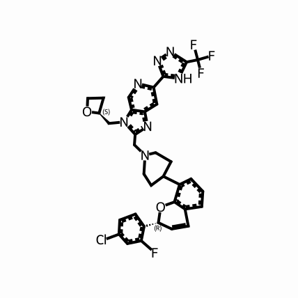 Fc1cc(Cl)ccc1[C@H]1C=Cc2cccc(C3CCN(Cc4nc5cc(-c6nnc(C(F)(F)F)[nH]6)ncc5n4C[C@@H]4CCO4)CC3)c2O1